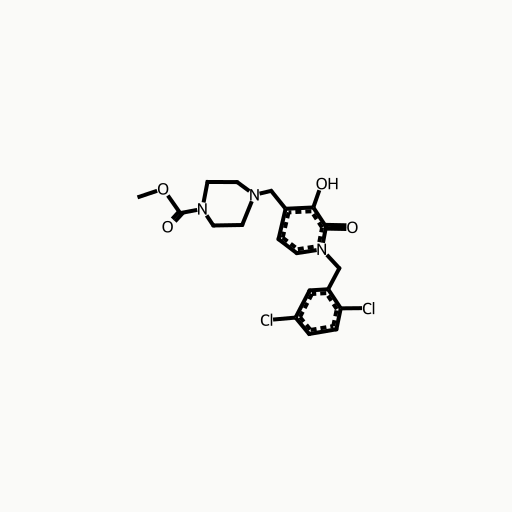 COC(=O)N1CCN(Cc2ccn(Cc3cc(Cl)ccc3Cl)c(=O)c2O)CC1